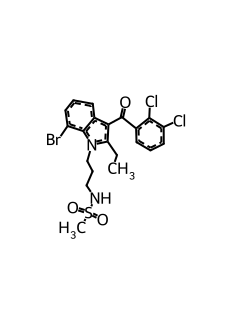 CCc1c(C(=O)c2cccc(Cl)c2Cl)c2cccc(Br)c2n1CCCNS(C)(=O)=O